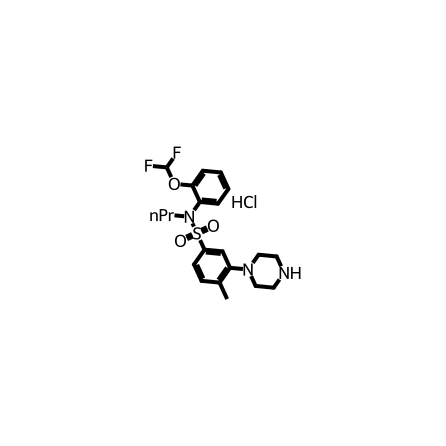 CCCN(c1ccccc1OC(F)F)S(=O)(=O)c1ccc(C)c(N2CCNCC2)c1.Cl